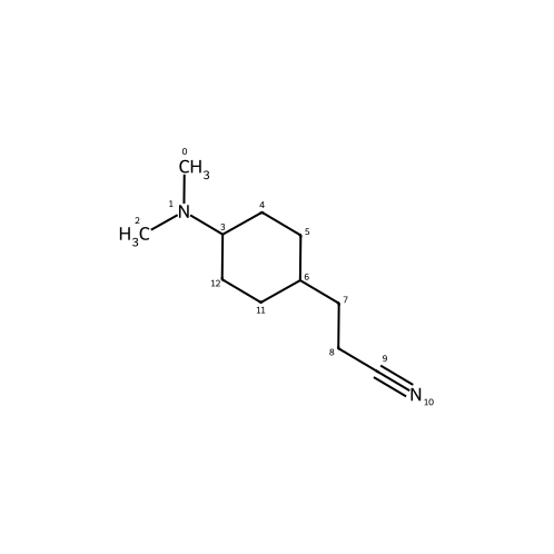 CN(C)C1CCC(CCC#N)CC1